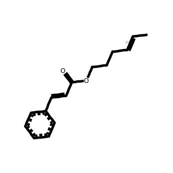 C/C=C/CCCOC(=O)C=Cc1ccccc1